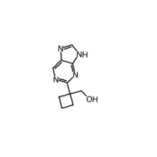 OCC1(c2ncc3nc[nH]c3n2)CCC1